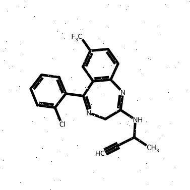 C#CC(C)NC1=Nc2ccc(C(F)(F)F)cc2C(c2ccccc2Cl)=NC1